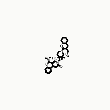 COCC(CC1CCCCC1)C(=O)N1CCC(O)(Cn2cc(C(=O)N(C)C)c(-c3ccccc3)cc2=O)C(C)(C)C1